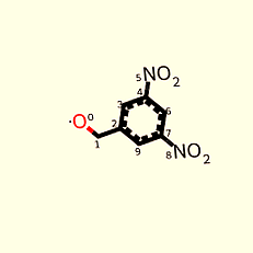 [O]Cc1cc([N+](=O)[O-])cc([N+](=O)[O-])c1